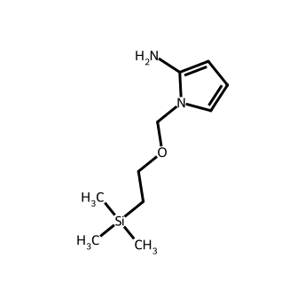 C[Si](C)(C)CCOCn1cccc1N